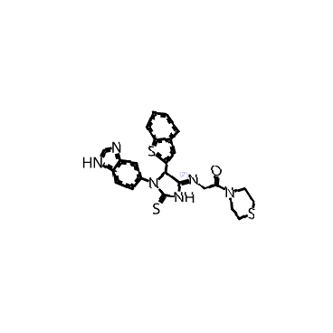 O=C(C/N=C1\NC(=S)N(c2ccc3[nH]cnc3c2)C1c1cc2ccccc2s1)N1CCSCC1